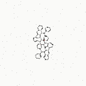 c1ccc(N(c2ccccc2)c2c3ccccc3cc3c4cccc5c6nc7c(cc6n(c23)c45)c2cccc3c4cc5ccccc5c(N(c5ccccc5)c5ccccc5)c4n7c23)cc1